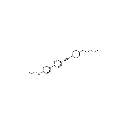 CCCCCC1CCC(C#Cc2ccc(-c3ccc(OCCC)cc3)cc2)CC1